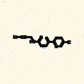 C=C(/C=C\C(=O)NCC#CCC)c1ccc(Cl)cn1